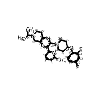 Cc1cccc(-c2nc3c(nc2N2CCC(Oc4ccc(F)cc4F)CC2)CCN(C(C)O)C3)n1